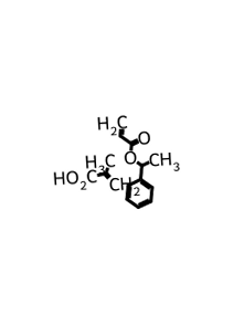 C=C(C)C(=O)O.C=CC(=O)OC(C)c1ccccc1